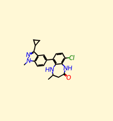 CC1CC(=O)Nc2c(Cl)ccc(-c3ccc4c(c3)c(C3CC3)nn4C)c2N1